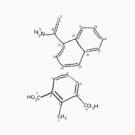 Cc1c(C(=O)O)cccc1C(=O)O.NC(=O)c1cccc2ccccc12